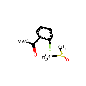 CNC(=O)c1ccccc1F.C[S+](C)[O-]